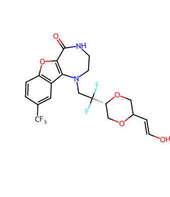 O=C1NCCN(CC(F)(F)[C@H]2COC(/C=C/O)CO2)c2c1oc1ccc(C(F)(F)F)cc21